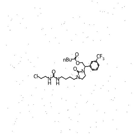 CCCCC(=O)OCC(c1cccc(C(F)(F)F)c1)N1CCN(CCCCNC(=O)NCCCl)C1=O